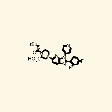 CC(C)(C)OC(=O)N1CCN(c2ccc3nc(-c4ccc(F)cc4F)n(-c4ccncc4)c3n2)C[C@@H]1C(=O)O